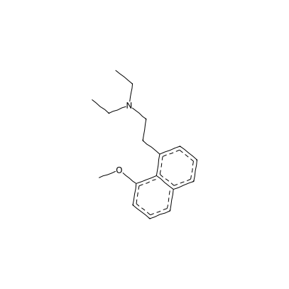 CCN(CC)CCc1cccc2cccc(OC)c12